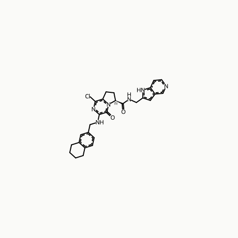 O=C(NCc1cc2cnccc2[nH]1)[C@@H]1CCc2c(Cl)nc(NCc3ccc4c(c3)CCCC4)c(=O)n21